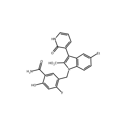 CCc1ccc2c(c1)c(-c1ccc[nH]c1=O)c(C(=O)O)n2Cc1cc(C(N)=O)c(O)cc1F